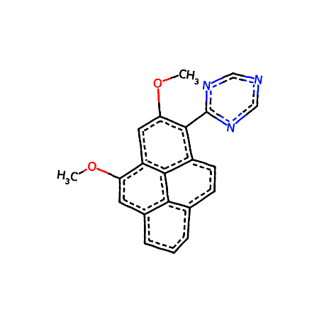 COc1cc2c(OC)cc3cccc4ccc(c1-c1ncncn1)c2c43